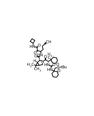 C#CCCC(NC(=O)[C@@H]1[C@@H]2C(CN1C(=O)[C@@H](NC(=O)NC1(CS(=O)(=O)C(C)(C)C)CCCCC1)C1(C)CCCCC1)C2(C)C)C(=O)C(=O)NC1CCC1